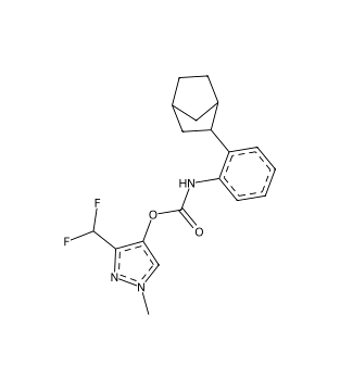 Cn1cc(OC(=O)Nc2ccccc2C2CC3CCC2C3)c(C(F)F)n1